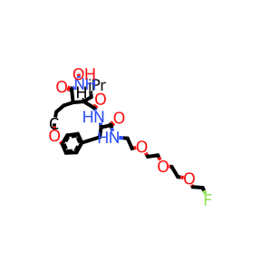 CC(C)C[C@H]1C(=O)NC(C(=O)NCCOCCOCCOCCF)Cc2ccc(cc2)OCCCC1C(=O)NO